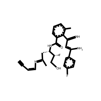 C#C/C=C\N=C(/C)C[C@H](NC(=O)c1cccc(C)c1C(=N)/C=C(\N)c1ccc(F)cc1)[C@H](F)CO